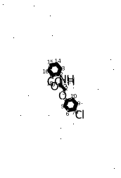 O=C(COc1ccc(Cl)cc1)Nc1ccccc1C(=O)O